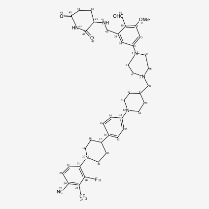 COc1cc(N2CCN(CC3CCN(c4ccc(C5CCN(c6ccc(C#N)c(C(F)(F)F)c6F)CC5)cc4)CC3)CC2)cc(CNC2CCC(=O)NC2=O)c1C=O